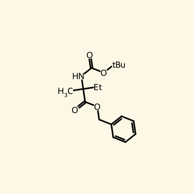 CCC(C)(NC(=O)OC(C)(C)C)C(=O)OCc1ccccc1